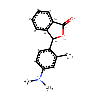 Cc1cc(N(C)C)ccc1C1OC(=O)c2ccccc21